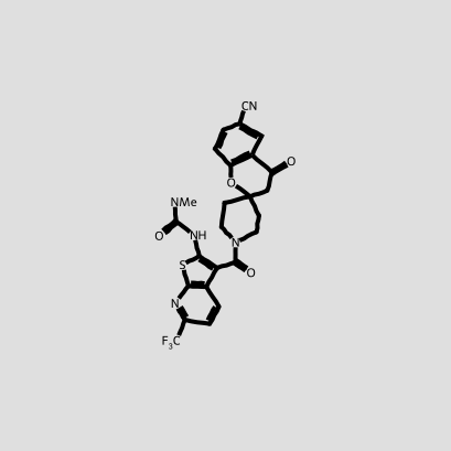 CNC(=O)Nc1sc2nc(C(F)(F)F)ccc2c1C(=O)N1CCC2(CC1)CC(=O)c1cc(C#N)ccc1O2